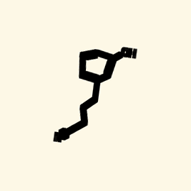 N#CCCCc1cccc(O)c1